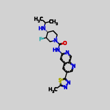 Cc1nnc(-c2cnc3cnc(NC(=O)N4CC[C@@H](NC(C)C)[C@H](F)C4)cc3c2)s1